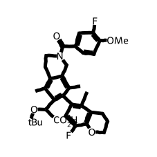 COc1ccc(C(=O)N2CCc3c(C)c(C(OC(C)(C)C)C(=O)O)c(-c4cc(F)c5c(c4C)CCCO5)c(C)c3C2)cc1F